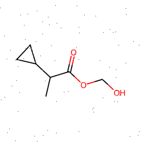 CC(C(=O)OCO)C1CC1